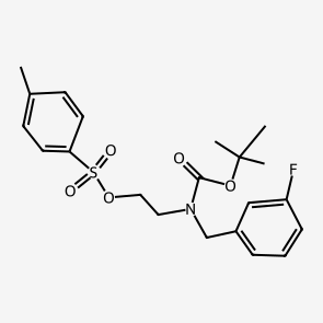 Cc1ccc(S(=O)(=O)OCCN(Cc2cccc(F)c2)C(=O)OC(C)(C)C)cc1